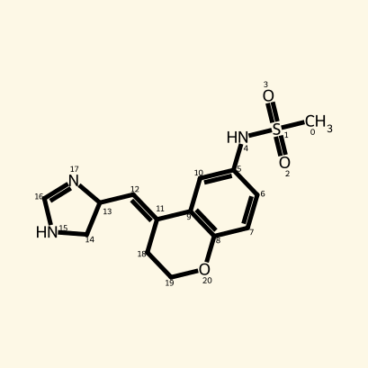 CS(=O)(=O)Nc1ccc2c(c1)/C(=C/C1CNC=N1)CCO2